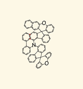 c1ccc(-c2ccccc2N(c2cccc3c2-c2ccccc2C32c3ccccc3Oc3ccccc32)c2cccc3c2-c2ccccc2C32c3ccccc3Oc3cc4ccccc4cc32)cc1